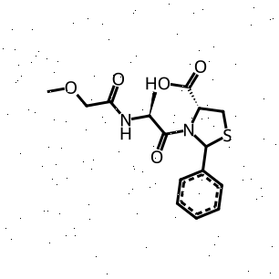 COCC(=O)N[C@@H](C)C(=O)N1C(c2ccccc2)SC[C@H]1C(=O)O